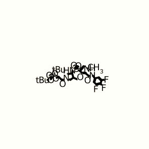 Cn1cc2c(c1C(=O)Nc1cc(F)c(F)c(F)c1)OCC1CN(C(=O)COP(=O)(OC(C)(C)C)OC(C)(C)C)CC1NS2(=O)=O